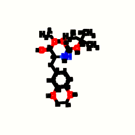 COC(=O)C(Cc1ccc2c(c1)OCCO2)NC(=O)OC(C)(C)C